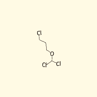 ClCCCOC(Cl)Cl